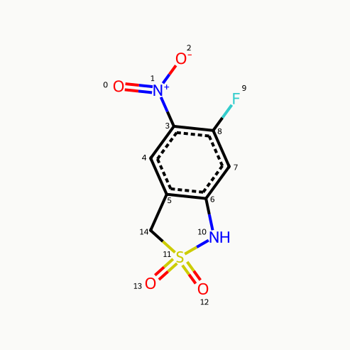 O=[N+]([O-])c1cc2c(cc1F)NS(=O)(=O)C2